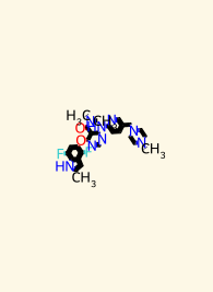 Cc1cc2c(F)c(OC3N=CN=C(Nc4ccc(CN5CCN(C)CC5)cn4)C3C(=O)N(C)C)cc(F)c2[nH]1